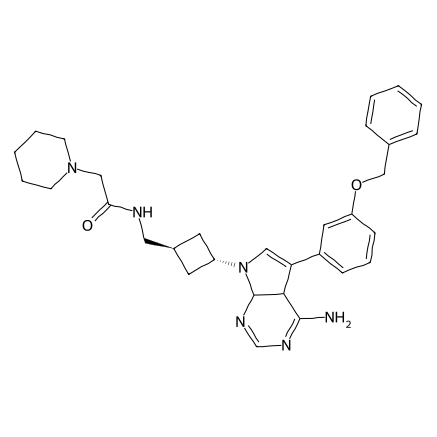 NC1=NC=NC2C1C(c1cccc(OCc3ccccc3)c1)=CN2[C@H]1C[C@H](CNC(=O)CN2CCCCC2)C1